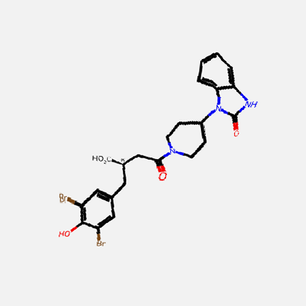 O=C(O)[C@@H](CC(=O)N1CCC(n2c(=O)[nH]c3ccccc32)CC1)Cc1cc(Br)c(O)c(Br)c1